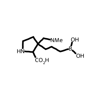 CNCC1(CCCB(O)O)CCNC1C(=O)O